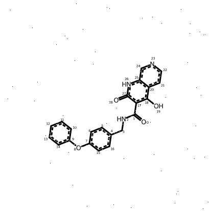 O=C(NCc1ccc(Oc2ccccc2)cc1)c1c(O)c2ccncc2[nH]c1=O